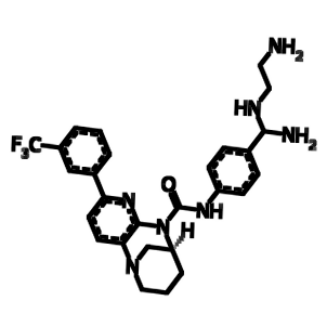 NCCNC(N)c1ccc(NC(=O)N2c3nc(-c4cccc(C(F)(F)F)c4)ccc3N3CCC[C@H]2C3)cc1